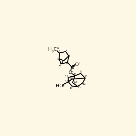 CC1CC2CC1CC2C(=O)OC12CC3CC(CC(O)(C3)C1)C2